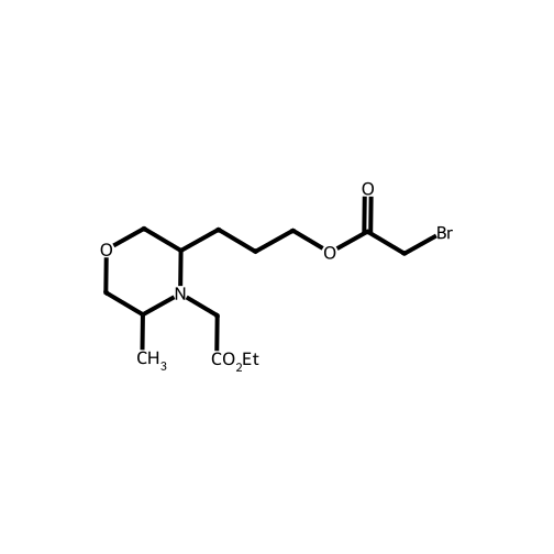 CCOC(=O)CN1C(C)COCC1CCCOC(=O)CBr